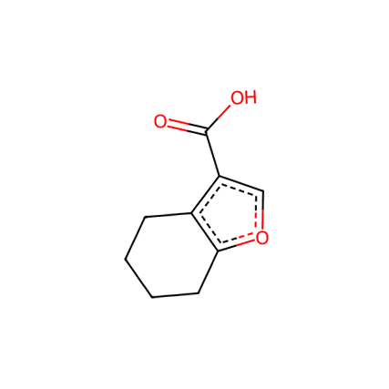 O=C(O)c1coc2c1CCCC2